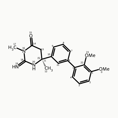 COc1cccc(-c2cccc([C@]3(C)CC(=O)N(C)C(=N)N3)c2)c1OC